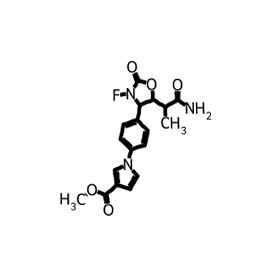 COC(=O)c1ccn(-c2ccc(C3C(C(C)C(N)=O)OC(=O)N3F)cc2)c1